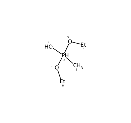 CCO[PH](C)(O)OCC